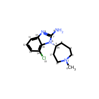 CN1CCC[C@@H](n2c(N)nc3cccc(Cl)c32)CC1